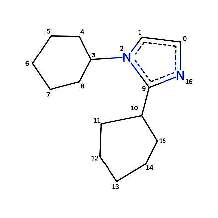 c1cn(C2CCCCC2)c(C2CCCCC2)n1